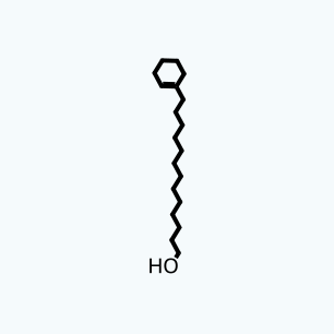 OCCCCCCCCCCCCCC1=CCCCC1